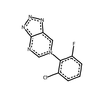 Fc1cccc(Cl)c1-n1cnc2nnnc-2c1